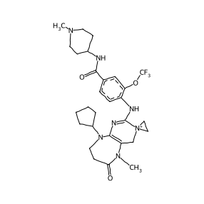 CN1CCC(NC(=O)c2ccc(NC3=NC4=C(C[N+]35CC5)N(C)C(=O)CCN4C3CCCC3)c(OC(F)(F)F)c2)CC1